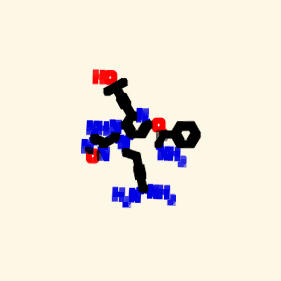 CC(C)(O)C#Cc1nc(O[C@H](CN)c2ccccc2)cc2c1nc(-c1nonc1N)n2CCC#CC(N)N